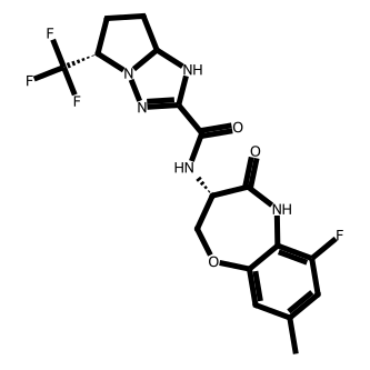 Cc1cc(F)c2c(c1)OC[C@H](NC(=O)C1=NN3C(CC[C@H]3C(F)(F)F)N1)C(=O)N2